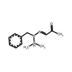 CC(=O)C=NN(Cc1ccccc1)[SiH](C)C